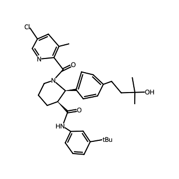 Cc1cc(Cl)cnc1C(=O)N1CCC[C@H](C(=O)Nc2cccc(C(C)(C)C)c2)[C@@H]1c1ccc(CCC(C)(C)O)cc1